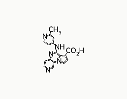 Cc1cc(Nc2nc3ccncc3n3ccc(C(=O)O)c23)ccn1